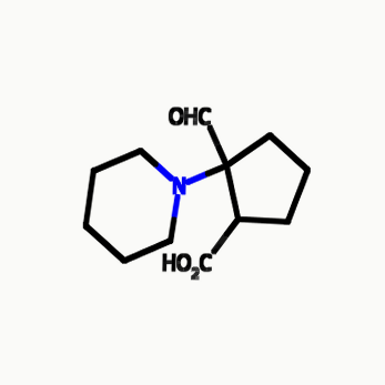 O=CC1(N2CCCCC2)CCCC1C(=O)O